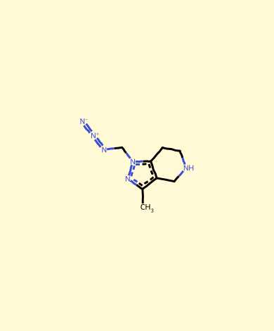 Cc1nn(CN=[N+]=[N-])c2c1CNCC2